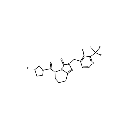 O=C([C@@H]1CCCc2nn(Cc3ccnc(C(F)(F)F)c3F)c(=O)n21)N1CC[C@H](F)C1